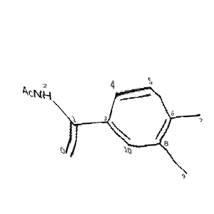 C=C(NC(C)=O)c1ccc(C)c(C)c1